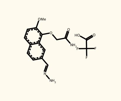 COc1ccc2ccc(C=NN)cc2c1OCC(N)=O.O=C(O)C(F)(F)F